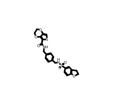 O=C(NCc1ccc(CNS(=O)(=O)c2ccc3c(c2)CCO3)cc1)c1scc2c1OCCO2